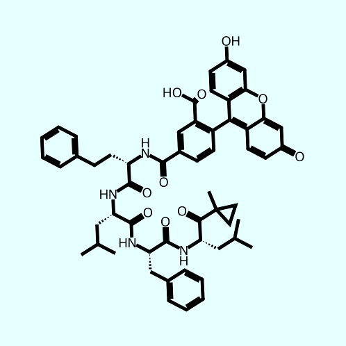 CC(C)C[C@H](NC(=O)[C@H](CCc1ccccc1)NC(=O)c1ccc(-c2c3ccc(=O)cc-3oc3cc(O)ccc23)c(C(=O)O)c1)C(=O)N[C@@H](Cc1ccccc1)C(=O)N[C@@H](CC(C)C)C(=O)C1(C)CC1